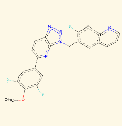 O=COc1c(F)cc(-c2ccc3nnn(Cc4cc5cccnc5cc4F)c3n2)cc1F